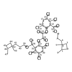 CC1CCC1(C)CCCOC(=O)c1c(Cl)c(Cl)cc(Cl)c1OC(=O)C(=O)Oc1c(Cl)cc(Cl)c(Cl)c1C(=O)OCCCC1(C)CCC1C